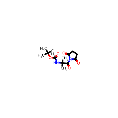 CC(C)(C)OC(=O)NC(C)(C)C(=O)N1C(=O)CCC1=O